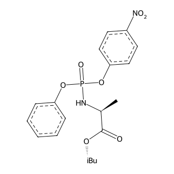 CC[C@@H](C)OC(=O)[C@H](C)NP(=O)(Oc1ccccc1)Oc1ccc([N+](=O)[O-])cc1